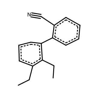 CCc1cccc(-c2ccccc2C#N)c1CC